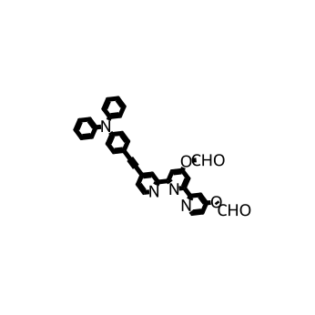 O=COc1ccnc(-c2cc(OC=O)cc(-c3cc(C#Cc4ccc(N(c5ccccc5)c5ccccc5)cc4)ccn3)n2)c1